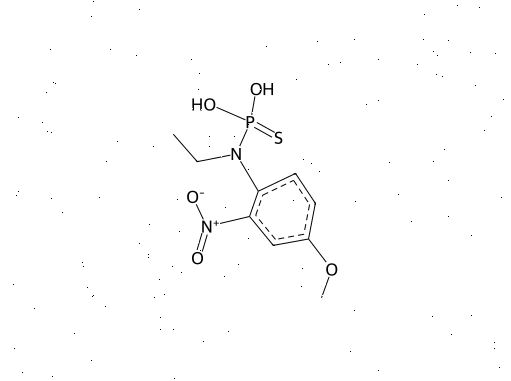 CCN(c1ccc(OC)cc1[N+](=O)[O-])P(O)(O)=S